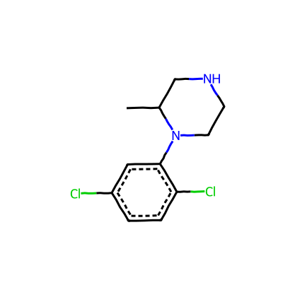 CC1CNCCN1c1cc(Cl)ccc1Cl